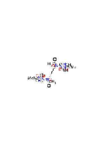 CN[C@@H](C)C(=O)N[C@H](C(=O)N1CCC[C@H]1CN(C[C@@H](C)c1ccccc1)C(=O)CCCCCCCCC(=O)N(C[C@@H]1CCCN1C(=O)[C@@H](NC(=O)[C@H](C)NC)C(C)(C)C)C[C@@H](C)c1ccccc1)C(C)(C)C